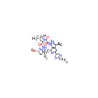 CC(=O)c1nn(CC(=O)N2[C@@H]3C[C@]3(C)C[C@@]2(O)C(=O)Nc2nc(Br)ccc2C)c2c(C)nc(-c3cnc(C)nc3)cc12